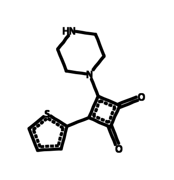 O=c1c(-c2cccs2)c(N2CCNCC2)c1=O